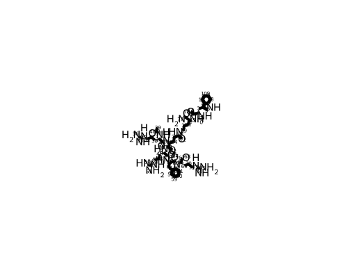 CN[C@@H](Cc1c[nH]c2ccccc12)C(=O)NC(CCCNC(=O)CCC(NC(=O)[C@H](CCCNC(=N)N)NC(C)=O)C(=O)N[C@@H](CCCNC(=N)N)C(=O)NC(Cc1ccccc1)C(=O)N[C@H](C=O)CCCNC(=N)N)C(N)=O